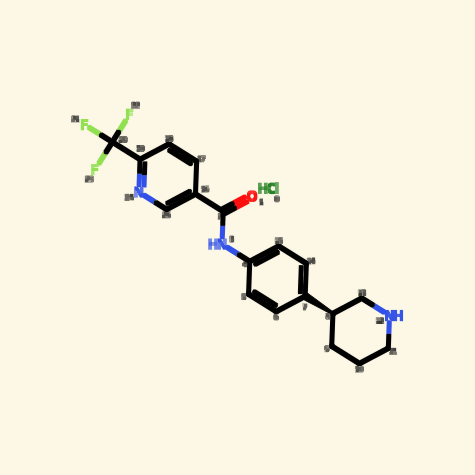 Cl.O=C(Nc1ccc([C@@H]2CCCNC2)cc1)c1ccc(C(F)(F)F)nc1